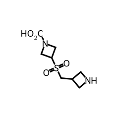 O=C(O)N1CC(S(=O)(=O)CC2CNC2)C1